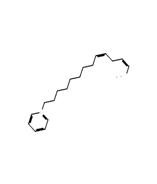 CCCCC/C=C\C/C=C\CCCCCCCC[n+]1ccccc1